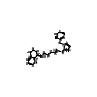 c1ccc(Cn2ccnc2CNCCCCNC2CCCc3cccnc32)nc1